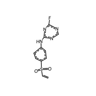 C=CS(=O)(=O)c1ccc(Nc2ncnc(F)n2)cc1